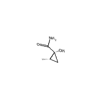 C[C@H]1C[C@]1(O)C(N)=O